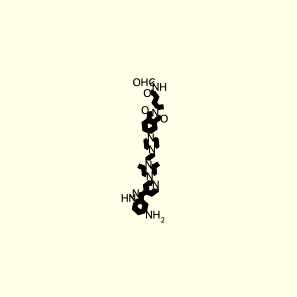 CC(CCC(=O)NC=O)N1C(=O)c2ccc(N3CCN(CCN4C(C)CN(c5cc(-c6n[nH]c7ccc(N)cc67)ccn5)CC4C)CC3)cc2C1=O